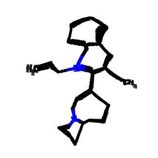 C=CC[n+]1c(C2=CN3CCC3CC2)c(C)cc2ccccc21